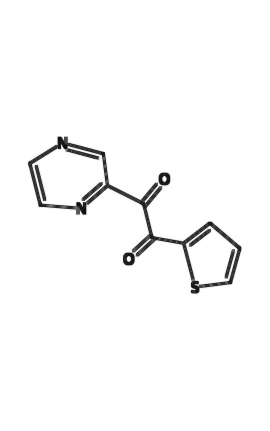 O=C(C(=O)c1cccs1)c1cnccn1